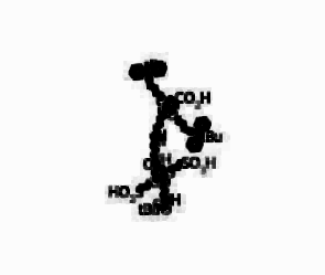 CC(C)(C)OC(=O)NCCCOc1c(OCCCS(=O)(=O)O)cc(C(=O)NCCCn2cc(CCCCOc3c(OCCCCC#C[Si](c4ccccc4)(c4ccccc4)C(C)(C)C)cc(C(=O)O)cc3OCCCCC#C[Si](c3ccccc3)(c3ccccc3)C(C)(C)C)nn2)cc1OCCCS(=O)(=O)O